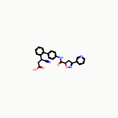 N#CC(CC(=O)O)c1ccccc1-c1ccc(NC(=O)C2CC(c3cccnc3)=NO2)cc1